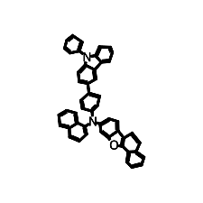 c1ccc(-n2c3ccccc3c3cc(-c4ccc(N(c5ccc6c(c5)oc5c7ccccc7ccc65)c5cccc6ccccc56)cc4)ccc32)cc1